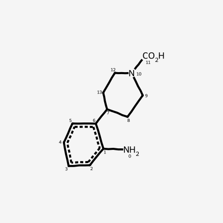 Nc1ccccc1C1CCN(C(=O)O)CC1